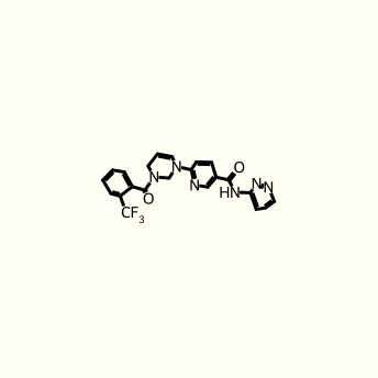 O=C(Nc1cccnn1)c1ccc(N2C=CCN(C(=O)c3ccccc3C(F)(F)F)C2)nc1